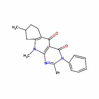 CC1CCc2c(n(C)c3nc(C(C)C)n(-c4ccccc4)c(=O)c3c2=O)C1